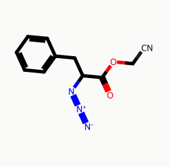 N#CCOC(=O)C(Cc1ccccc1)N=[N+]=[N-]